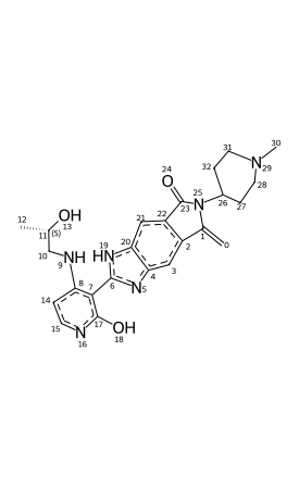 C=C1c2cc3nc(-c4c(NC[C@H](C)O)ccnc4O)[nH]c3cc2C(=O)N1C1CCN(C)CC1